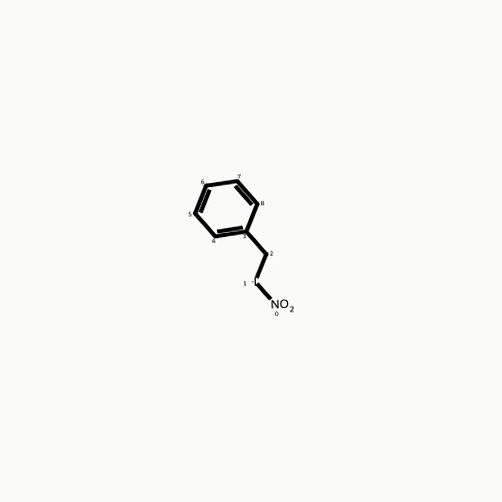 O=[N+]([O-])[I]Cc1ccccc1